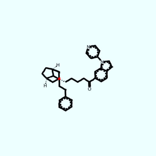 O=C(CCCC[C@@H]1C[C@H]2CC[C@@H](C1)C2CCCc1ccccc1)c1ccc2ccn(-c3ccncc3)c2c1